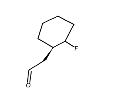 O=CC[C@H]1CCCCC1F